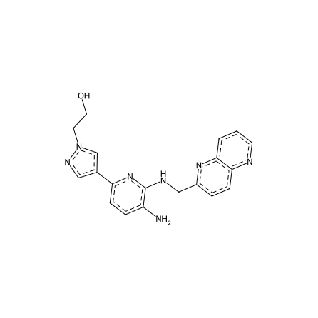 Nc1ccc(-c2cnn(CCO)c2)nc1NCc1ccc2ncccc2n1